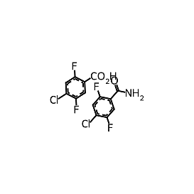 NC(=O)c1cc(F)c(Cl)cc1F.O=C(O)c1cc(F)c(Cl)cc1F